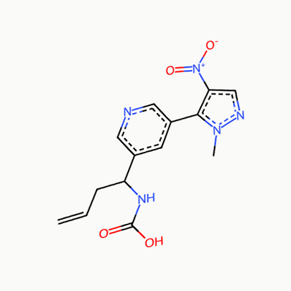 C=CCC(NC(=O)O)c1cncc(-c2c([N+](=O)[O-])cnn2C)c1